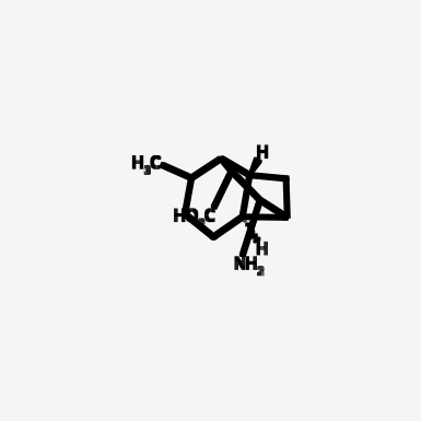 CC1CC[C@@H]2C3C[C@H]2C1C(C(=O)O)C3N